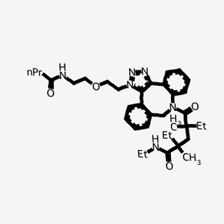 CCCC(=O)NCCOCCn1nnc2c1-c1ccccc1CN(C(=O)C(C)(CC)CC(C)(CC)C(=O)NCC)c1ccccc1-2